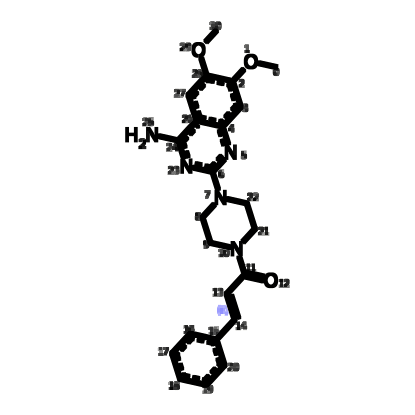 COc1cc2nc(N3CCN(C(=O)/C=C/c4ccccc4)CC3)nc(N)c2cc1OC